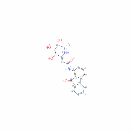 C[C@@H]1NC(=CC(=O)Nc2cccc3c2C(=O)c2ccccc2-3)[C@@H](O)[C@H](O)[C@@H]1O